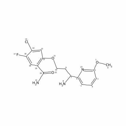 COc1cccc(C(N)CCOc2cc(Cl)c(F)cc2C(N)=O)n1